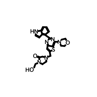 O=C1CN(Cc2cc3nc(-c4cccc5[nH]ccc45)nc(N4CCOCC4)c3s2)CCN1CCO